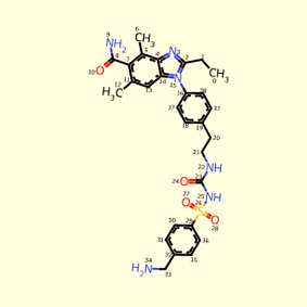 CCc1nc2c(C)c(C(N)=O)c(C)cc2n1-c1ccc(CCNC(=O)NS(=O)(=O)c2ccc(CN)cc2)cc1